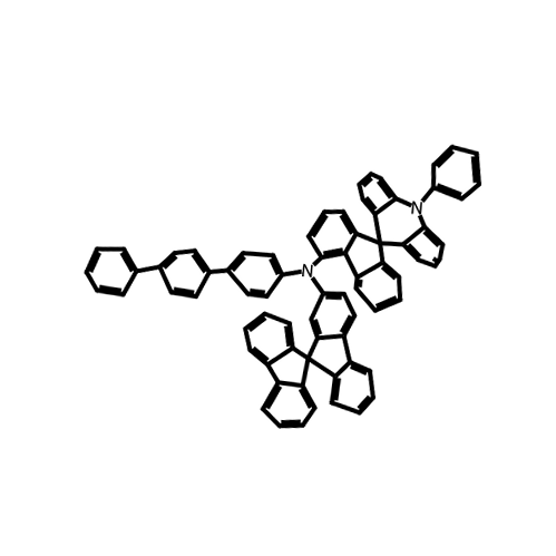 c1ccc(-c2ccc(-c3ccc(N(c4ccc5c(c4)C4(c6ccccc6-c6ccccc64)c4ccccc4-5)c4cccc5c4-c4ccccc4C54c5ccccc5N(c5ccccc5)c5ccccc54)cc3)cc2)cc1